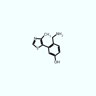 Cc1ncsc1-c1cc(O)ccc1CN